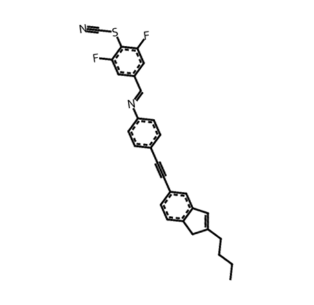 CCCCC1=Cc2cc(C#Cc3ccc(N=Cc4cc(F)c(SC#N)c(F)c4)cc3)ccc2C1